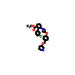 COC(=O)c1cccc(N2CC(Oc3ccc(COc4cccnc4)cc3)C2)c1-c1cccc(Cl)c1